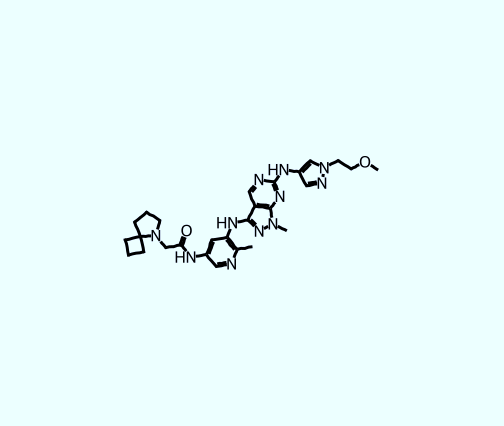 COCCn1cc(Nc2ncc3c(Nc4cc(NC(=O)CN5CCCC56CCC6)cnc4C)nn(C)c3n2)cn1